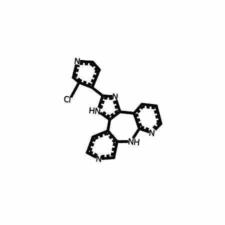 Clc1cnccc1-c1nc2c([nH]1)-c1ccncc1Nc1ncccc1-2